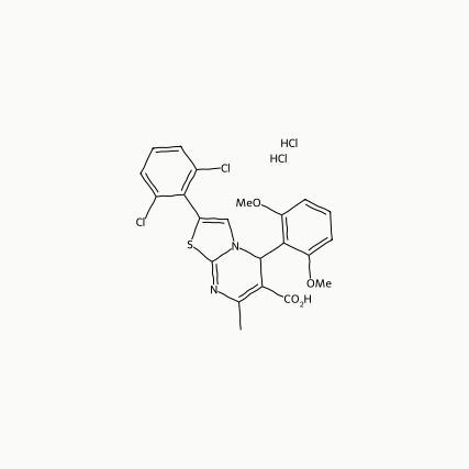 COc1cccc(OC)c1C1C(C(=O)O)=C(C)N=C2SC(c3c(Cl)cccc3Cl)=CN21.Cl.Cl